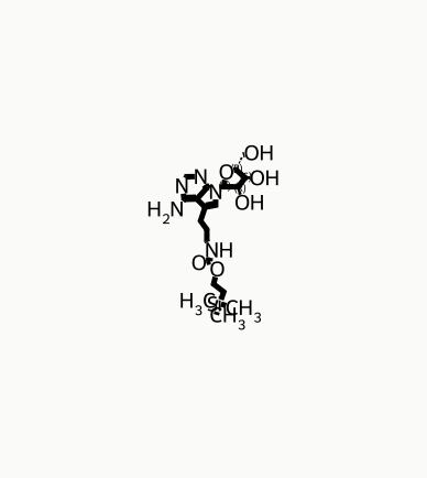 C[Si](C)(C)CCOC(=O)NCCCc1cn([C@@H]2O[C@H](CO)[C@@H](O)[C@H]2O)c2ncnc(N)c12